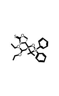 CCOC(C[C@H](O[Si](c1ccccc1)(c1ccccc1)C(C)(C)C)[C@H]1COC(=S)S1)OCC